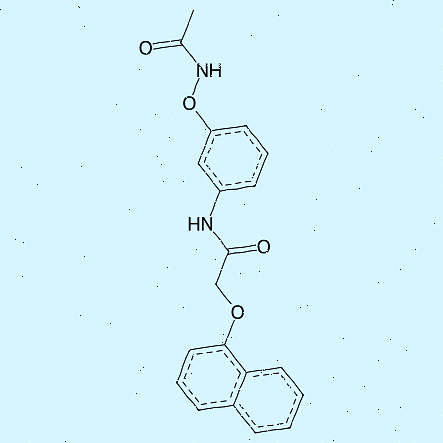 CC(=O)NOc1cccc(NC(=O)COc2cccc3ccccc23)c1